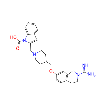 N=C(N)N1CCc2ccc(OCC3CCN(Cc4cc5ccccc5n4C(=O)O)CC3)cc2C1